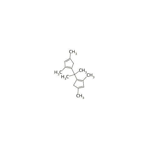 CC1=CC(C)=C(C(C)(C)C2=C(C)C=C(C)C2)C1